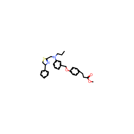 CCCN(CC1=NC(c2ccccc2)CS1)c1cccc(COc2ccc(CCC(=O)OC)cc2)c1